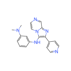 CN(C)c1cccc(Nc2c(-c3ccncc3)nc3cnccn23)c1